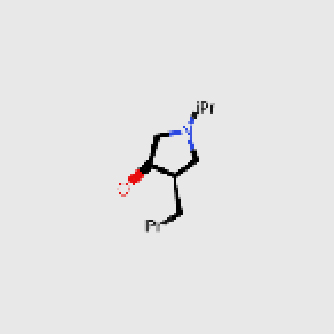 CC(C)C[C@@H]1CN(C(C)C)CC1=O